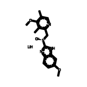 COc1ccc2nc([S@+]([O-])Cc3ncc(C)c(OC)c3C)[nH]c2c1.[LiH]